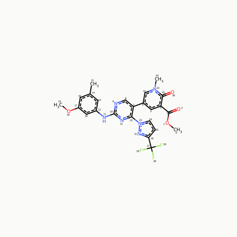 COC(=O)c1cc(-c2cnc(Nc3cc(C)cc(OC)c3)nc2-n2ccc(C(F)(F)F)n2)cn(C)c1=O